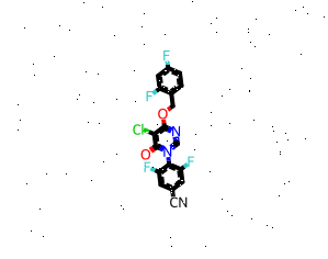 N#Cc1cc(F)c(-n2cnc(OCc3ccc(F)cc3F)c(Cl)c2=O)c(F)c1